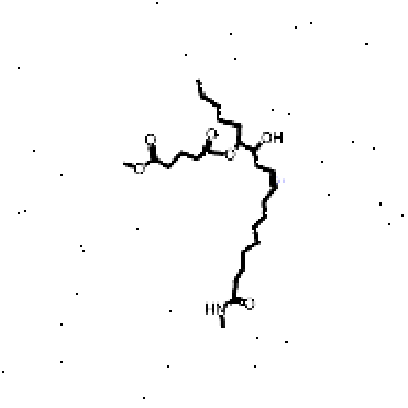 CCCCCC(OC(=O)CCCC(=O)OC)C(O)C/C=C\CCCCCCCC(=O)NC